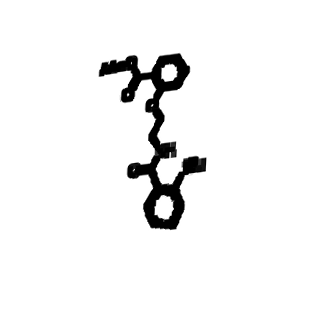 COC(=O)c1ccccc1OCCNC(=O)c1ccccc1C(C)(C)C